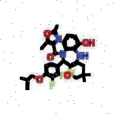 C=C(C)COc1ccc(C2C3=C(CC(C)(C)C[S+]3[O-])Nc3c(O)cccc3N2C(=O)c2nc(C)oc2C)c(F)c1F